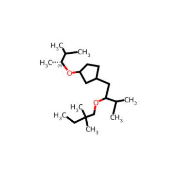 CCC(C)(C)COC(CC1CCC(O[C@H](C)C(C)C)C1)C(C)C